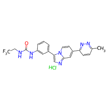 Cc1ccc(-c2ccn3c(-c4cccc(NC(=O)NCC(F)(F)F)c4)cnc3c2)nn1.Cl